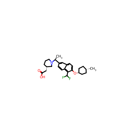 C[C@@H](c1ccc2c(C(F)F)c(O[C@H]3CC[C@@H](C)CC3)ccc2c1)N1CCC[C@@H](CC(=O)O)C1